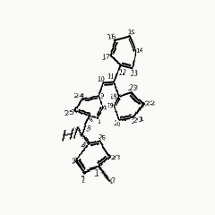 Cc1ccc(Nc2ccc(C=C(c3ccccc3)c3ccccc3)cc2)cc1